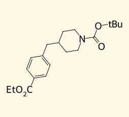 CCOC(=O)c1ccc(CC2CCN(C(=O)OC(C)(C)C)CC2)cc1